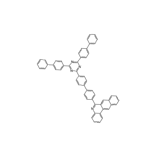 c1ccc(-c2ccc(-c3nc(-c4ccc(-c5ccccc5)cc4)nc(-c4ccc(-c5ccc(-c6nc7ccccc7c7cc8ccccc8cc67)cc5)cc4)n3)cc2)cc1